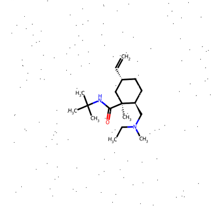 C=C[C@@H]1CC[C@@H](CN(C)CC)[C@@](C)(C(=O)NC(C)(C)C)C1